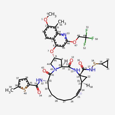 COc1ccc2c(O[C@@H]3C[C@H]4C(=O)N[C@]5(C(=O)NSC6CC6)C[C@H]5/C=C\CCCCC[C@H](NC(=O)c5ccc(C)s5)C(=O)N4C3)cc(OCC(F)(F)F)nc2c1C